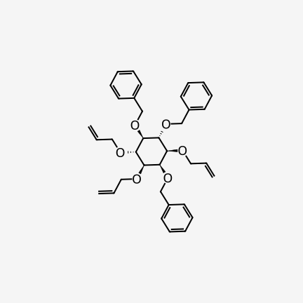 C=CCO[C@H]1[C@H](OCC=C)[C@@H](OCc2ccccc2)[C@H](OCc2ccccc2)[C@@H](OCC=C)[C@H]1OCc1ccccc1